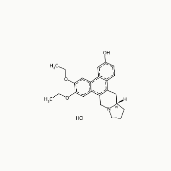 CCOc1cc2c3c(c4ccc(O)cc4c2cc1OCC)C[C@@H]1CCCN1C3.Cl